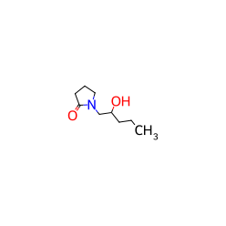 CCCC(O)CN1CCCC1=O